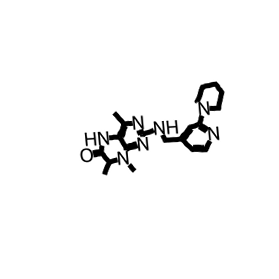 Cc1nc(NCc2ccnc(N3CCCCC3)c2)nc2c1NC(=O)C(C)N2C